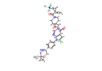 CC1(C)CN[C@H](c2ccc(-n3c(Cl)cc4c(=O)n(CC5(O)CCN(C(=O)[C@@]6(C)C[C@@H]6C(F)(F)F)CC5)cnc43)cc2)CO1